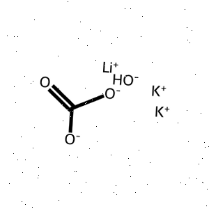 O=C([O-])[O-].[K+].[K+].[Li+].[OH-]